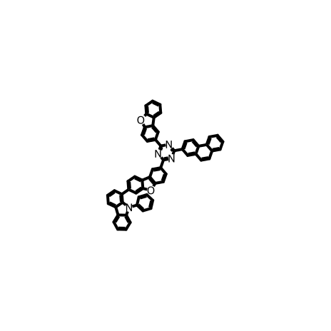 c1ccc(-n2c3ccccc3c3cccc(-c4ccc5c(c4)oc4ccc(-c6nc(-c7ccc8c(ccc9ccccc98)c7)nc(-c7ccc8oc9ccccc9c8c7)n6)cc45)c32)cc1